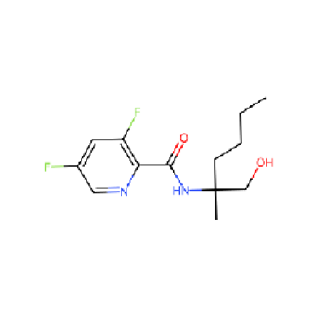 CCCCC(C)(CO)NC(=O)c1ncc(F)cc1F